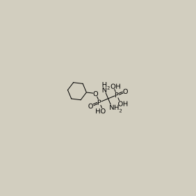 NC(N)(P(=O)(O)O)P(=O)(O)OC1CCCCC1